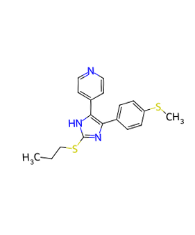 CCCSc1nc(-c2ccc(SC)cc2)c(-c2ccncc2)[nH]1